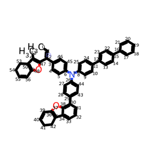 C/C=C(/c1ccc(N(c2ccc(-c3ccc(-c4ccccc4)cc3)cc2)c2ccc(-c3cccc4c5c(oc34)C=CCC5)cc2)cc1)c1oc2c(c1C)CCC=C2